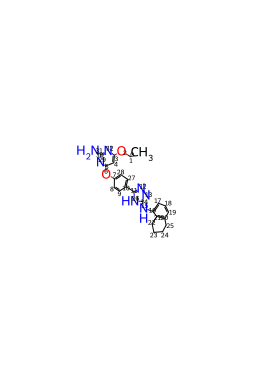 CCOc1cc(Oc2ccc(-c3nnc(Nc4cccc5c4CCCC5)[nH]3)cc2)nc(N)n1